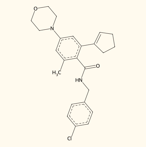 Cc1cc(N2CCOCC2)cc(C2=CCCC2)c1C(=O)NCc1ccc(Cl)cc1